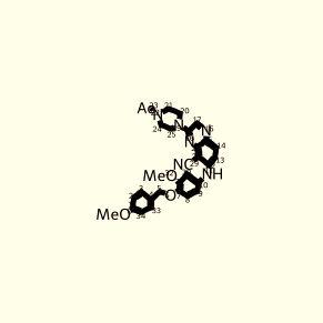 COc1ccc(COc2ccc(Nc3ccc4ncc(N5CCN(C(C)=O)CC5)nc4c3C#N)cc2OC)cc1